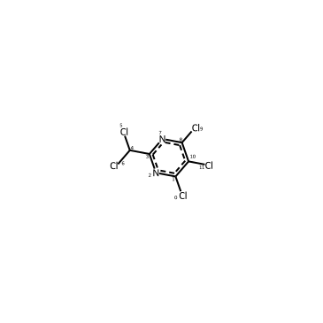 Clc1nc(C(Cl)Cl)nc(Cl)c1Cl